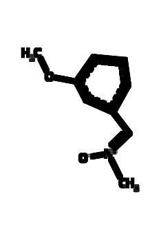 COc1cccc(C=[N+](C)[O-])c1